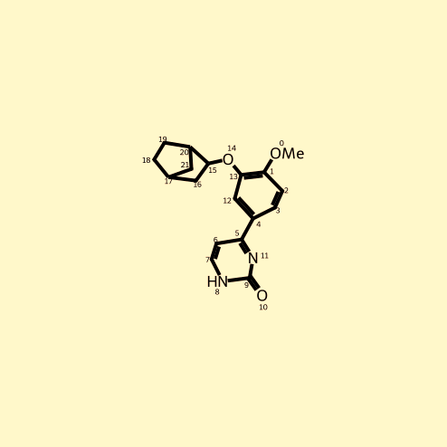 COc1ccc(-c2cc[nH]c(=O)n2)cc1OC1CC2CCC1C2